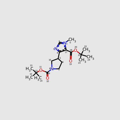 Cn1cnc(C2CCN(C(=O)OC(C)(C)C)C2)c1C(=O)OC(C)(C)C